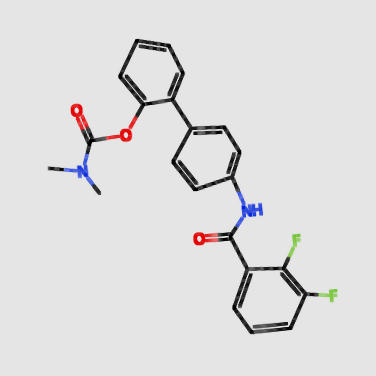 CN(C)C(=O)Oc1ccccc1-c1ccc(NC(=O)c2cccc(F)c2F)cc1